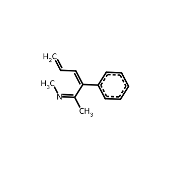 C=C/C=C(\C(C)=N/C)c1ccccc1